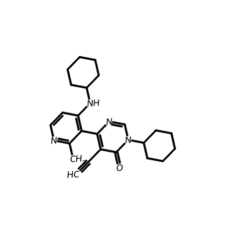 C#Cc1c(-c2c(NC3CCCCC3)ccnc2C)ncn(C2CCCCC2)c1=O